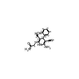 N#CC1=C(N)NC(SCC(N)=O)=C(C#N)C1c1ccccc1Cl